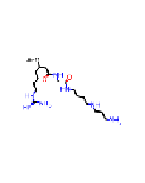 CC(=O)OC(CCCCNC(=N)N)CC(=O)NCC(=O)NCCCCNCCCN